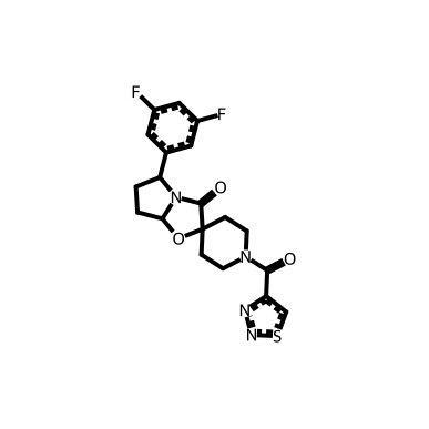 O=C(c1csnn1)N1CCC2(CC1)OC1CCC(c3cc(F)cc(F)c3)N1C2=O